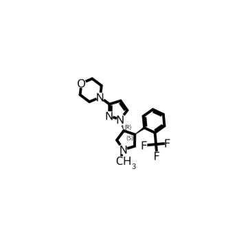 CN1C[C@H](c2ccccc2C(F)(F)F)[C@@H](n2ccc(N3CCOCC3)n2)C1